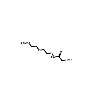 COCC(=O)NOCCOCCON